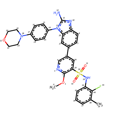 COc1ncc(-c2ccc3nc(N)n(-c4ccc(N5CCOCC5)cc4)c3c2)cc1S(=O)(=O)Nc1cccc(C)c1F